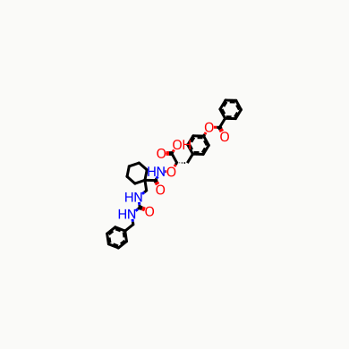 O=C(NCc1ccccc1)NCC1(C(=O)NO[C@@H](Cc2ccc(OC(=O)c3ccccc3)cc2)C(=O)O)CCCCC1